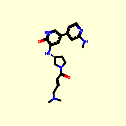 CNc1cc(-c2c[nH]c(=O)c(N[C@@H]3CCN(C(=O)C=CCN(C)C)C3)c2)ccn1